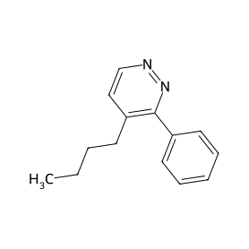 CCCCc1ccnnc1-c1ccccc1